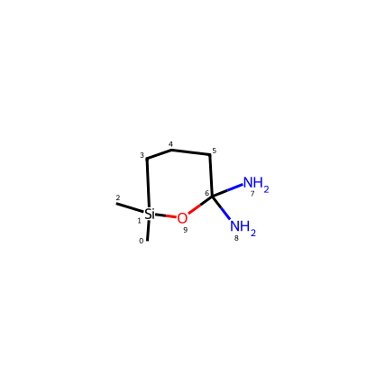 C[Si]1(C)CCCC(N)(N)O1